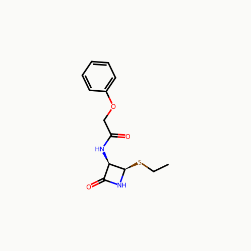 CCS[C@H]1NC(=O)[C@H]1NC(=O)COc1ccccc1